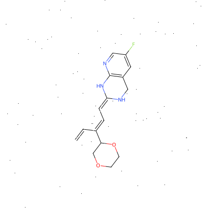 C=C/C(=C\C=C1/NCc2cc(F)cnc2N1)C1COCCO1